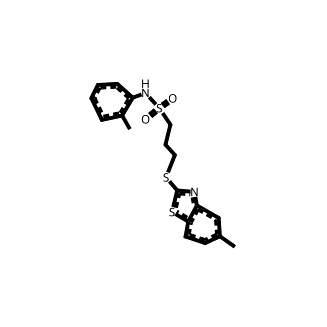 Cc1ccc2sc(SCCCS(=O)(=O)Nc3ccccc3C)nc2c1